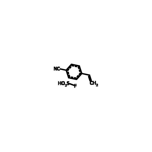 C=Cc1ccc(C#N)cc1.O=S(=O)(O)F